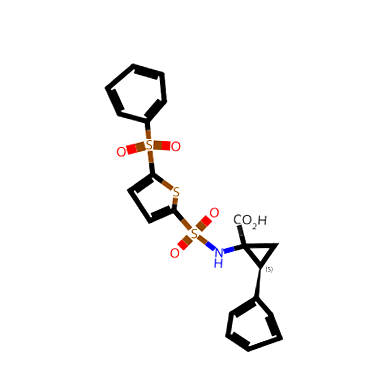 O=C(O)C1(NS(=O)(=O)c2ccc(S(=O)(=O)c3ccccc3)s2)C[C@H]1c1ccccc1